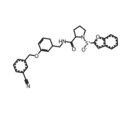 N#Cc1cccc(COC2=CC(CNC(=O)C3CCCN3[S+]([O-])c3cc4ccccc4o3)CC=C2)c1